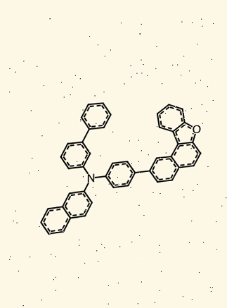 c1ccc(-c2cccc(N(c3ccc(-c4ccc5ccc6oc7ccccc7c6c5c4)cc3)c3ccc4ccccc4c3)c2)cc1